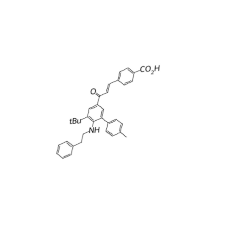 Cc1ccc(-c2cc(C(=O)C=Cc3ccc(C(=O)O)cc3)cc(C(C)(C)C)c2NCCc2ccccc2)cc1